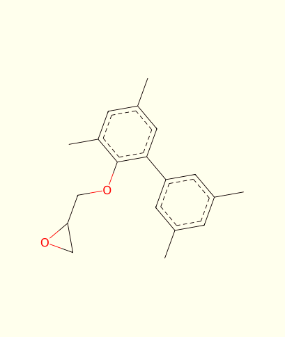 Cc1cc(C)cc(-c2cc(C)cc(C)c2OCC2CO2)c1